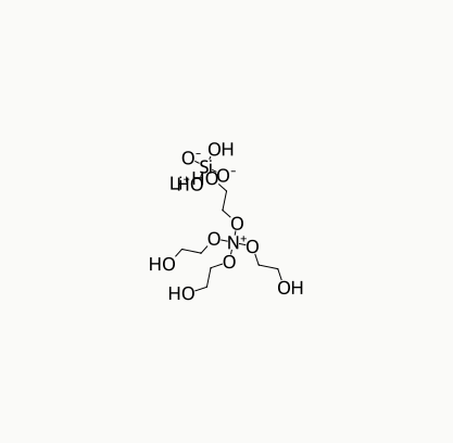 OCCO[N+](OCCO)(OCCO)OCCO.[Li+].[O-][Si]([O-])(O)O